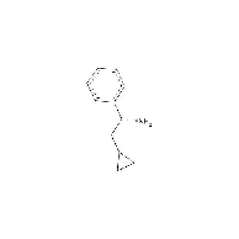 N[C@H](CC1CC1)c1ccccc1